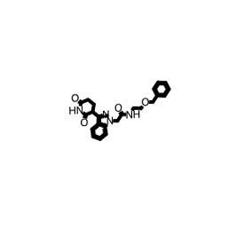 O=C(Cn1nc(C2CCC(=O)NC2=O)c2ccccc21)NCCOCc1ccccc1